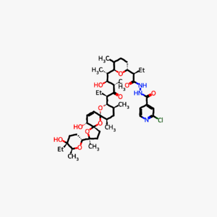 CC[C@@H](C(=O)[C@@H](C)[C@@H](O)[C@H](C)[C@@H]1O[C@@H]([C@@H](CC)C(=O)NNC(=O)c2ccnc(Cl)c2)CCC1C)[C@H]1O[C@]2(C=C[C@@H](O)[C@]3(CC[C@@](C)([C@H]4CC[C@](O)(CC)[C@H](C)O4)O3)O2)[C@H](C)C[C@@H]1C